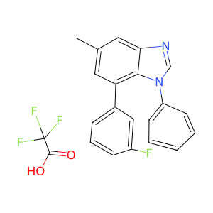 Cc1cc(-c2cccc(F)c2)c2c(c1)ncn2-c1ccccc1.O=C(O)C(F)(F)F